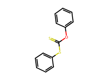 S=C(Oc1ccccc1)Sc1ccccc1